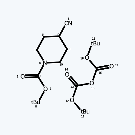 CC(C)(C)OC(=O)N1CCC(C#N)CC1.CC(C)(C)OC(=O)OC(=O)OC(C)(C)C